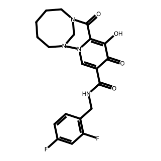 O=C(NCc1ccc(F)cc1F)c1cn2c(c(O)c1=O)C(=O)N1CCCCCN2C1